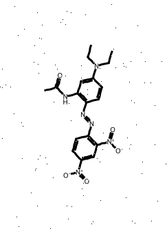 CCN(CC)c1ccc(N=Nc2ccc([N+](=O)[O-])cc2[N+](=O)[O-])c(NC(C)=O)c1